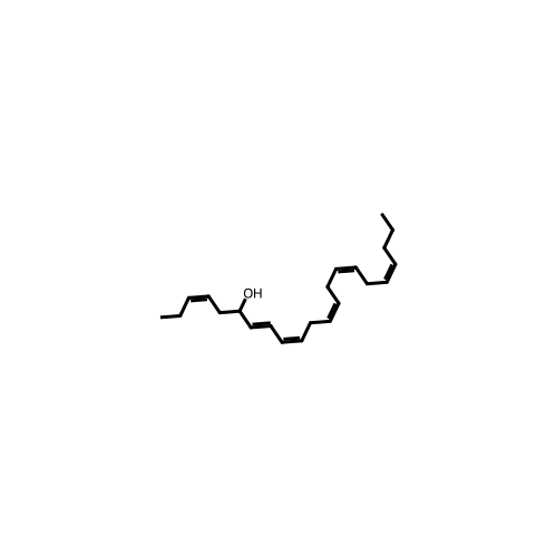 CC/C=C\CC(O)/C=C/C=C\C/C=C\C/C=C\C/C=C\CCC